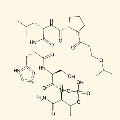 CC(C)C[C@H](NC(=O)[C@@H]1CCCN1C(=O)CCOC(C)C)C(=O)N[C@@H](Cc1cnc[nH]1)C(=O)N[C@@H](CO)C(=O)N[C@H](C(N)=O)C(C)OP(=O)(O)O